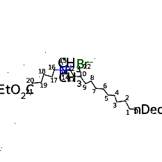 CCCCCCCCCCCCCCCCCCCCCC[N+](C)(C)CCCCCC(=O)OCC.[Br-]